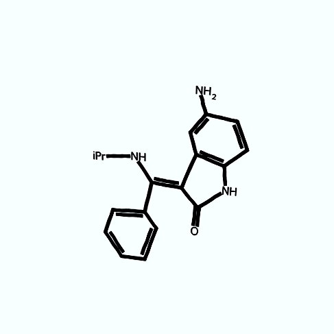 CC(C)NC(=C1C(=O)Nc2ccc(N)cc21)c1ccccc1